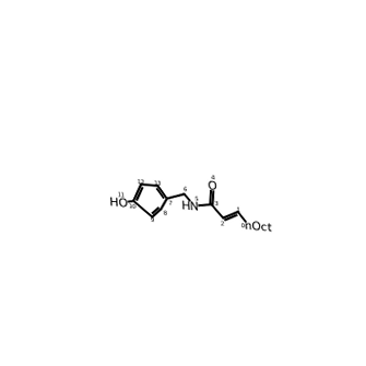 CCCCCCCCC=CC(=O)NCc1ccc(O)cc1